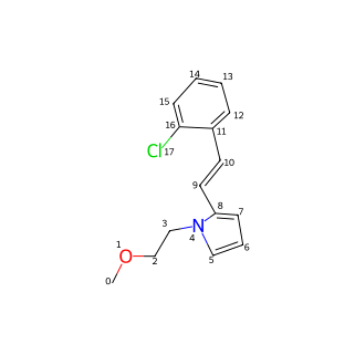 COCCn1cccc1C=Cc1ccccc1Cl